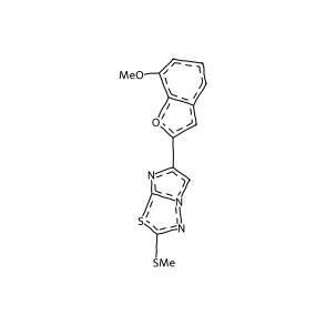 COc1cccc2cc(-c3cn4nc(SC)sc4n3)oc12